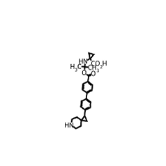 CC(C)(NC1(C(=O)O)CC1)OC(=O)c1ccc(-c2ccc(C3CC34CCNCC4)cc2)cc1